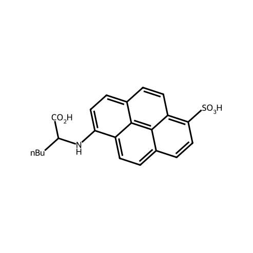 CCCCC(Nc1ccc2ccc3c(S(=O)(=O)O)ccc4ccc1c2c43)C(=O)O